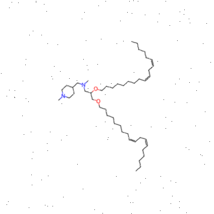 CCCCC/C=C\C/C=C\CCCCCCCCOCC(CN(C)CC1CCN(C)CC1)OCCCCCCCC/C=C\C/C=C\CCCCC